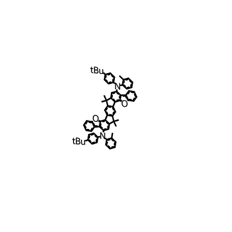 Cc1ccccc1N(c1ccc(C(C)(C)C)cc1)c1cc2c(c3oc4ccccc4c13)-c1cc3c(cc1C2(C)C)-c1c(cc(N(c2ccc(C(C)(C)C)cc2)c2ccccc2C)c2c1oc1ccccc12)C3(C)C